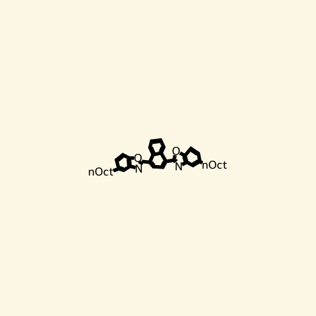 CCCCCCCCc1ccc2oc(-c3ccc(-c4nc5cc(CCCCCCCC)ccc5o4)c4ccccc34)nc2c1